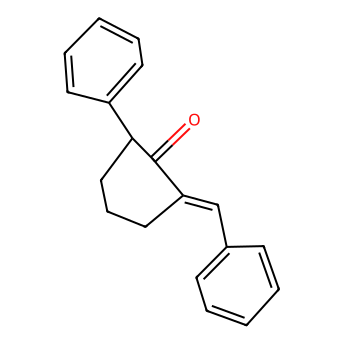 O=C1C(=Cc2ccccc2)CCCC1c1ccccc1